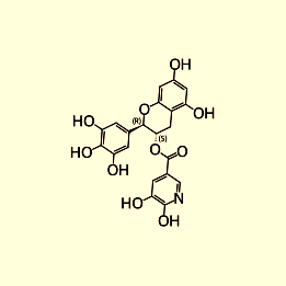 O=C(O[C@H]1Cc2c(O)cc(O)cc2O[C@@H]1c1cc(O)c(O)c(O)c1)c1cnc(O)c(O)c1